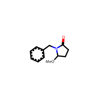 COC1CCC(=O)N1Cc1ccccc1